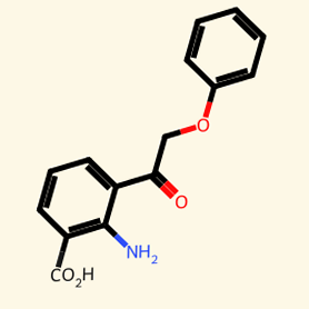 Nc1c(C(=O)O)cccc1C(=O)COc1ccccc1